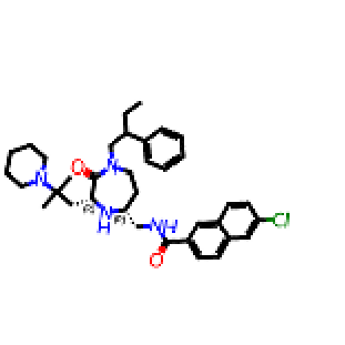 CCC(CN1CC[C@H](CNC(=O)c2ccc3cc(Cl)ccc3c2)N[C@H](CC(C)(C)N2CCCCC2)C1=O)c1ccccc1